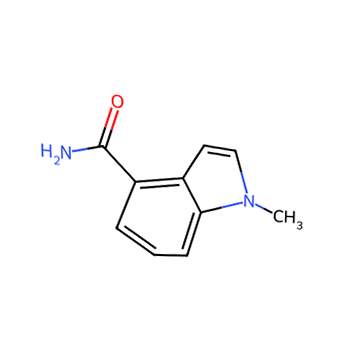 Cn1ccc2c(C(N)=O)cccc21